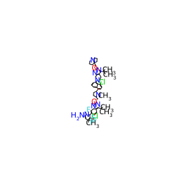 Cc1cc(N)nc(-c2c(Cl)cc3c(C(C)C)nc(OCC4CCC(c5ccc(Cl)c6c(N7CCc8c(nc(OCC9%10CCCN9CCC%10)nc8C(C)C)C7)cccc56)N4C)nc3c2F)c1C(F)(F)F